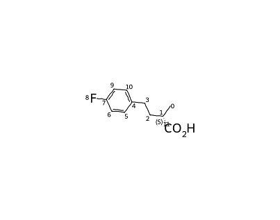 C[C@@H](CCc1ccc(F)cc1)C(=O)O